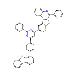 c1ccc(-c2nc(-c3ccc(-c4cccc5c4sc4ccccc45)cc3)cc(-c3ccc4sc5c(-c6ccccc6)nc6ccccc6c5c4c3)n2)cc1